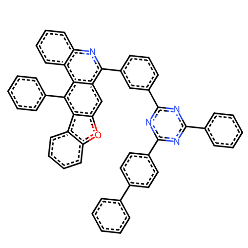 c1ccc(-c2ccc(-c3nc(-c4ccccc4)nc(-c4cccc(-c5nc6ccccc6c6c(-c7ccccc7)c7c(cc56)oc5ccccc57)c4)n3)cc2)cc1